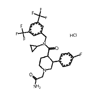 Cl.NC(=O)CN1CCC(C(=O)N(Cc2cc(C(F)(F)F)cc(C(F)(F)F)c2)C2CC2)C(c2ccc(F)cc2)C1